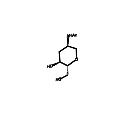 CC(=O)N[C@H]1CO[C@H](CO)[C@@H](O)C1